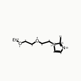 CCOCCOCCn1ccnc1C